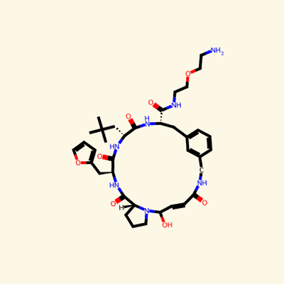 CC(C)(C)C[C@H]1NC(=O)[C@H](Cc2ccco2)NC(=O)[C@H]2CCCN2C(O)/C=C/C(=O)NCc2cccc(c2)C[C@@H](C(=O)NCCOCCN)NC1=O